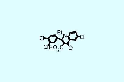 CCn1c(-c2ccc(Cl)c(Cl)c2)c(C(=O)O)c(=O)c2cc(Cl)ccc21